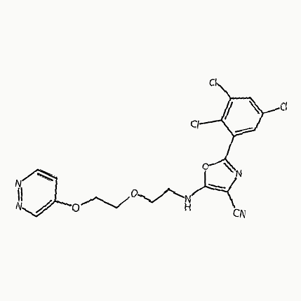 N#Cc1nc(-c2cc(Cl)cc(Cl)c2Cl)oc1NCCOCCOc1ccnnc1